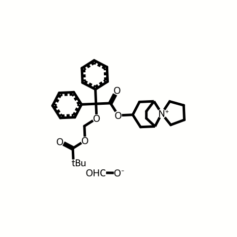 CC(C)(C)C(=O)OCOC(C(=O)OC1CC2CCC(C1)[N+]21CCCC1)(c1ccccc1)c1ccccc1.O=C[O-]